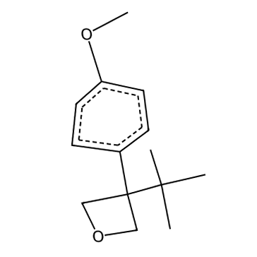 COc1ccc(C2(C(C)(C)C)COC2)cc1